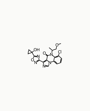 COCC(C)n1c(=O)c2c(-c3noc(C4(O)CC4)n3)ncn2c2cccc(Cl)c21